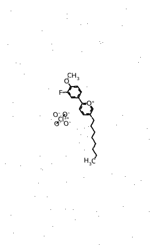 CCCCCCCCc1ccc(-c2ccc(OC)c(F)c2)[o+]c1.[O-][Cl+3]([O-])([O-])[O-]